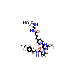 O=C(O)NCCNC(=O)CCCC1CCN(c2cc(N3CCCC3C(=O)NCCc3ccc(C(F)(F)F)cc3)nc(C(F)(F)F)n2)CC1